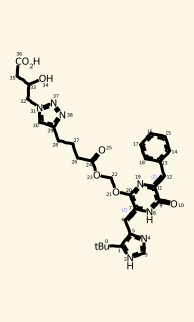 CC(C)(C)c1[nH]cnc1/C=c1\[nH]c(=O)/c(=C/c2ccccc2)nc1OCOC(=O)CCCc1cn(CC(O)CC(=O)O)nn1